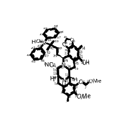 COCOc1c(OC)c(C)cc2c1[C@@H]1N[C@@H](C2)[C@H](C#N)N2C1Cc1c(O)c(C)c3c(c1[C@@H]2CCC(C)(C)[Si](O)(c1ccccc1)c1ccccc1)OCO3